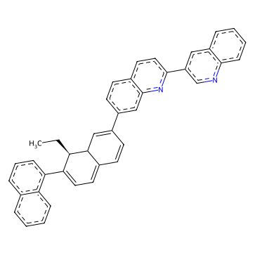 CC[C@@H]1C(c2cccc3ccccc23)=CC=C2C=CC(c3ccc4ccc(-c5cnc6ccccc6c5)nc4c3)=CC21